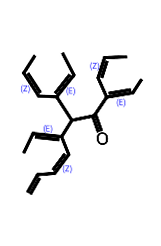 C=C/C=C\C(=C/C)C(C(=O)C(/C=C\C)=C/C)C(/C=C\C)=C/C